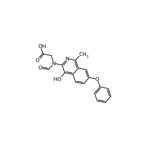 Cc1nc(N(C=O)CC(=O)O)c(O)c2ccc(Oc3ccccc3)cc12